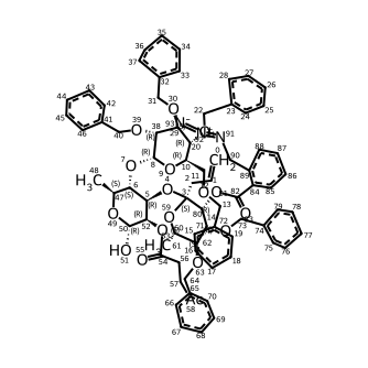 C=CC[C@@]1(O[C@@H]2[C@@H](O[C@H]3O[C@H](COCc4ccccc4)[C@@H](OCc4ccccc4)[C@H](OCc4ccccc4)[C@H]3OCc3ccccc3)[C@H](C)O[C@@H](O)[C@@H]2OC(=O)CCC(C)=O)O[C@@H](C)[C@H](OCc2ccccc2)[C@@H](OCc2ccccc2)[C@H]1OC(=O)c1ccccc1CN=[N+]=[N-]